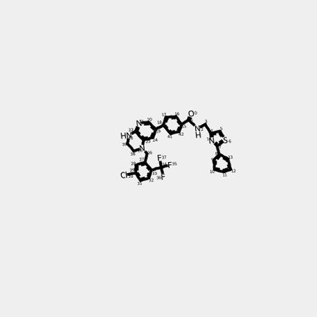 O=C(NCc1csc(-c2ccccc2)n1)c1ccc(-c2cnc3c(c2)N(Cc2cc(Cl)ccc2C(F)(F)F)CCN3)cc1